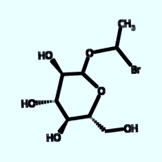 CC(Br)OC1O[C@H](CO)[C@@H](O)[C@H](O)[C@H]1O